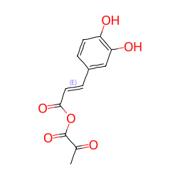 CC(=O)C(=O)OC(=O)/C=C/c1ccc(O)c(O)c1